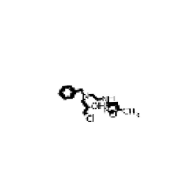 Cc1cc(NCCN(Cc2ccccc2)C[C@H](O)CCl)no1